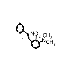 CN(C)c1cccc(C=Cc2ccccc2)c1[N+](=O)[O-]